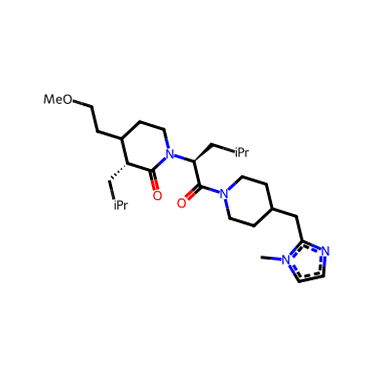 COCCC1CCN([C@@H](CC(C)C)C(=O)N2CCC(Cc3nccn3C)CC2)C(=O)[C@@H]1CC(C)C